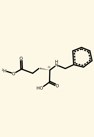 [2H]OC(=O)CC[C@H](NCc1ccccc1)C(=O)O